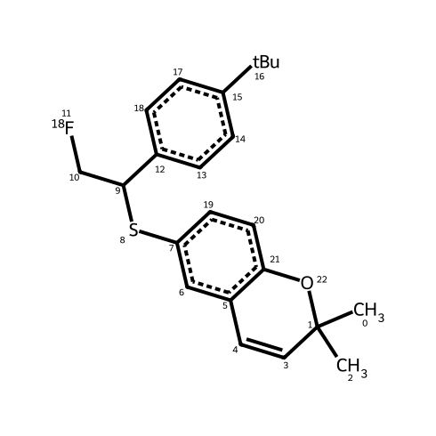 CC1(C)C=Cc2cc(SC(C[18F])c3ccc(C(C)(C)C)cc3)ccc2O1